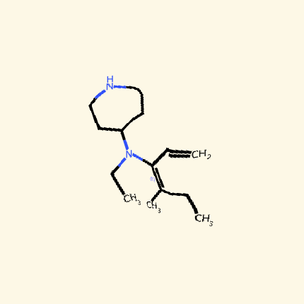 C=C/C(=C(/C)CC)N(CC)C1CCNCC1